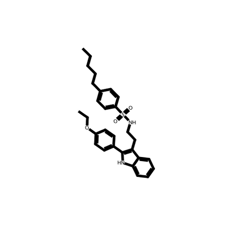 CCCCCc1ccc(S(=O)(=O)NCCc2c(-c3ccc(OCC)cc3)[nH]c3ccccc23)cc1